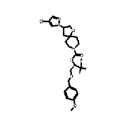 COc1ccc(COC[C@@H](OC(=O)N2CCC3(CC2)CC(n2cc(Cl)cn2)CO3)C(F)(F)F)cc1